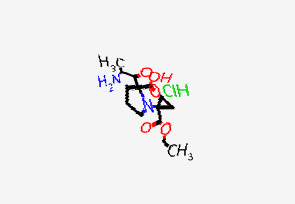 CCOC(=O)C1(N2CCCC2(C(=O)O)C(=O)C(C)N)CC1.Cl